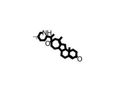 CC1=C2CC3C(CCC4=CC(=O)CCC43C)C2CCC2(C1)OC1C[C@H](C)CNC1C2C